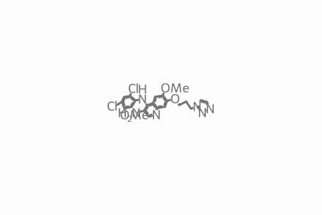 COc1cc(Nc2c(N)cnc3cc(OCCCn4ccnn4)c(OC)cc23)c(Cl)cc1Cl